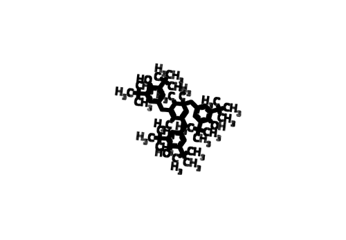 CC1=C(Cc2cc(C(C)(C)C)c(O)c(C(C)(C)C)c2)C(C)C(C)(Cc2cc(C(C)(C)C)c(O)c(C(C)(C)C)c2)C=C1Cc1cc(C(C)(C)C)c(O)c(C(C)(C)C)c1